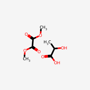 CC(O)C(=O)O.COC(=O)C(=O)OC